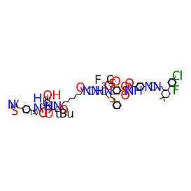 Cc1ncsc1-c1ccc([C@H](C)NC(=O)[C@@H]2C[C@@H](O)CN2C(=O)C(NC(=O)CCCCCCC(=O)N2CCN(CCC(CSc3ccccc3)Nc3ccc(S(=O)(=O)NC(=O)c4ccc(N5CCN(CC6=C(c7ccc(Cl)cc7F)CCC(C)(C)C6)CC5)cc4)cc3S(=O)(=O)C(F)(F)F)CC2)C(C)(C)C)cc1